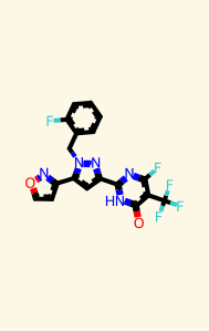 O=c1[nH]c(-c2cc(-c3ccon3)n(Cc3ccccc3F)n2)nc(F)c1C(F)(F)F